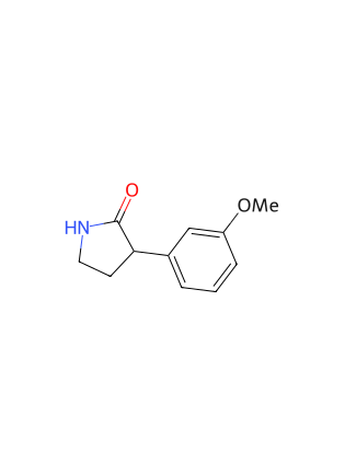 COc1cccc(C2CCNC2=O)c1